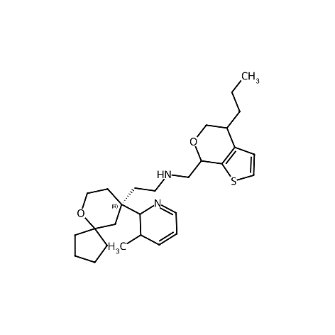 CCCC1COC(CNCC[C@@]2(C3N=CC=CC3C)CCOC3(CCCC3)C2)c2sccc21